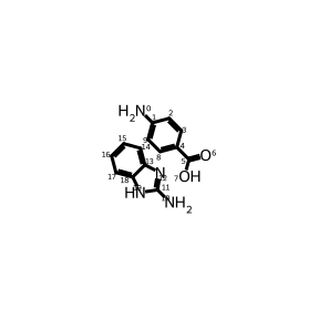 Nc1ccc(C(=O)O)cc1.Nc1nc2ccccc2[nH]1